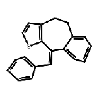 C(=C1c2ccccc2CCc2ccsc21)c1ccccc1